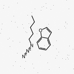 CCCCCN=[N+]=[N-].c1ccc2occc2c1